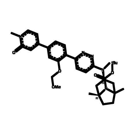 COCOc1cc(-c2ccn(C)c(=O)c2)ccc1-c1ccc(N(C)[C@H]2CC3(C)CC[C@](C)(C2)N3C(=O)OC(C)(C)C)nn1